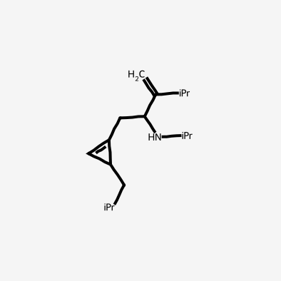 C=C(C(C)C)C(CC1=CC1CC(C)C)NC(C)C